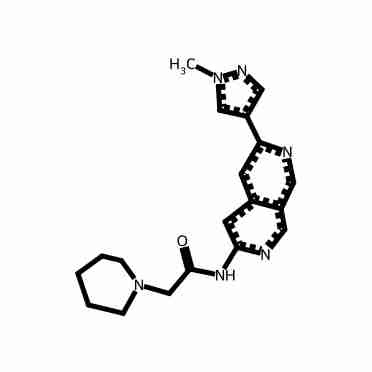 Cn1cc(-c2cc3cc(NC(=O)CN4CCCCC4)ncc3cn2)cn1